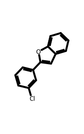 Clc1cccc(-c2cc3ccccc3o2)c1